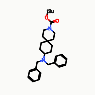 CC(C)(C)OC(=O)N1CCC2(CCC(N(Cc3ccccc3)Cc3ccccc3)CC2)CC1